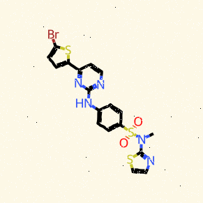 CN(c1nccs1)S(=O)(=O)c1ccc(Nc2nccc(-c3ccc(Br)s3)n2)cc1